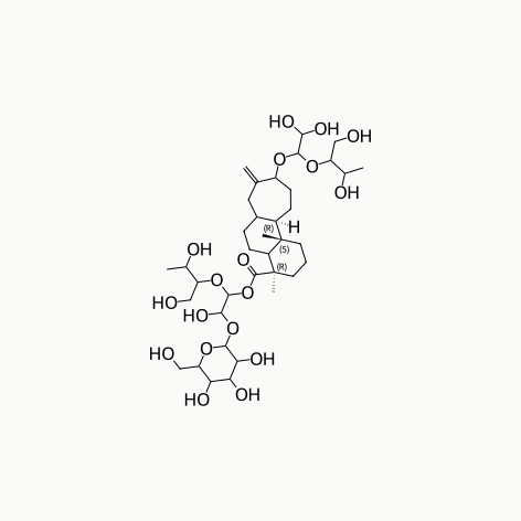 C=C1CC2CCC3[C@](C)(C(=O)OC(OC(CO)C(C)O)C(O)OC4OC(CO)C(O)C(O)C4O)CCC[C@@]3(C)[C@@H]2CCC1OC(OC(CO)C(C)O)C(O)O